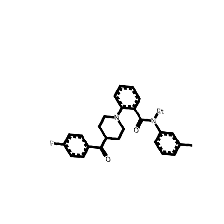 CCN(C(=O)c1ccccc1N1CCC(C(=O)c2ccc(F)cc2)CC1)c1cccc(C)c1